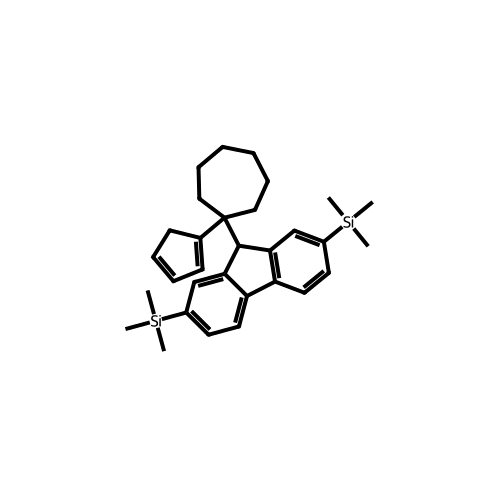 C[Si](C)(C)c1ccc2c(c1)C(C1(C3=CC=CC3)CCCCCC1)c1cc([Si](C)(C)C)ccc1-2